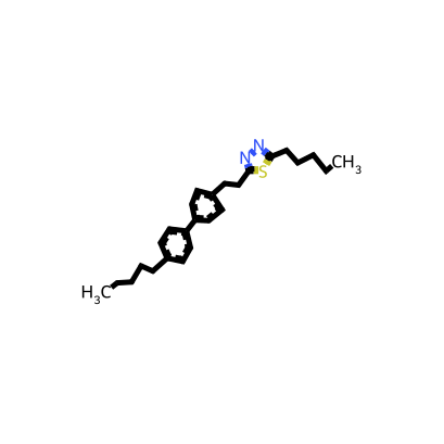 CCCCCc1ccc(-c2ccc(CCc3nnc(CCCCC)s3)cc2)cc1